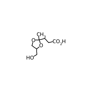 CC1(CCC(=O)O)OCC(CO)O1